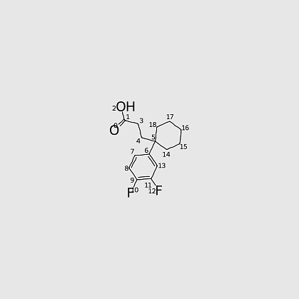 O=C(O)CCC1(c2ccc(F)c(F)c2)CCCCC1